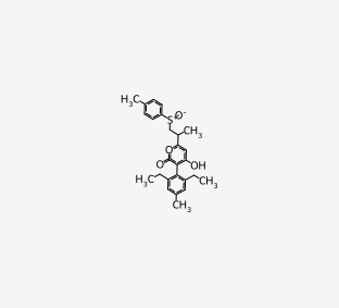 CCc1cc(C)cc(CC)c1-c1c(O)cc(C(C)C[S+]([O-])c2ccc(C)cc2)oc1=O